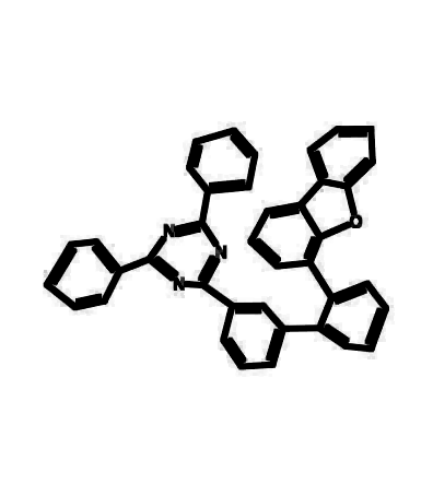 c1ccc(-c2nc(-c3ccccc3)nc(-c3cccc(-c4ccccc4-c4cccc5c4oc4ccccc45)c3)n2)cc1